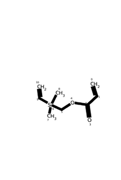 C=CC(=O)OC[Si](C)(C)C=C